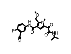 COCc1c(C(=O)Nc2ccc(F)c(C#N)c2)cc(C(=O)C(=O)NC(C)C)n1C